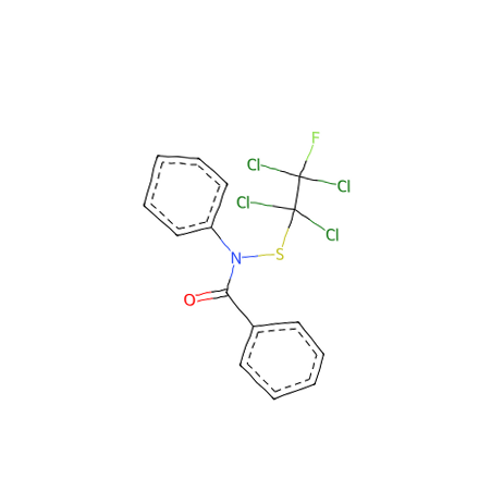 O=C(c1ccccc1)N(SC(Cl)(Cl)C(F)(Cl)Cl)c1ccccc1